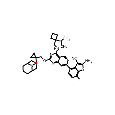 CN(C)C1(CNc2nc(OCC3(CN4C5CCCC4COC5)CC3)nc3cc(-c4ccc(F)c5sc(N)c(C#N)c45)ncc23)CCC1